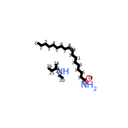 CCCCCCCC/C=C\CCCCCCCC(N)=O.CCNC(C)CC